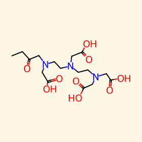 CCC(=O)CN(CCN(CCN(CC(=O)O)CC(=O)O)CC(=O)O)CC(=O)O